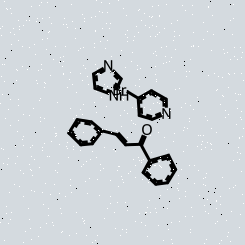 Brc1ccncc1.O=C(C=Cc1ccccc1)c1ccccc1.c1c[nH]cn1